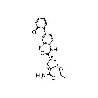 CCO[C@H]1C[C@H](C(=O)Nc2ccc(-n3ccccc3=O)cc2F)C[C@@H]1C(N)=O